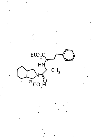 CCOC(=O)C(CCc1ccccc1)NC(C)C(=O)N1CC2CCCCC2[C@H]1C(=O)O